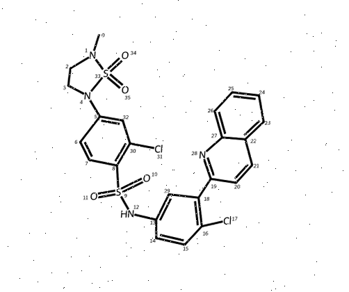 CN1CCN(c2ccc(S(=O)(=O)Nc3ccc(Cl)c(-c4ccc5ccccc5n4)c3)c(Cl)c2)S1(=O)=O